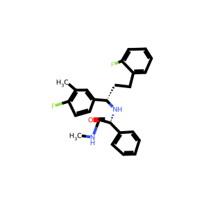 CNC(=O)[C@H](N[C@@H](CCc1ccccc1F)c1ccc(F)c(C)c1)c1ccccc1